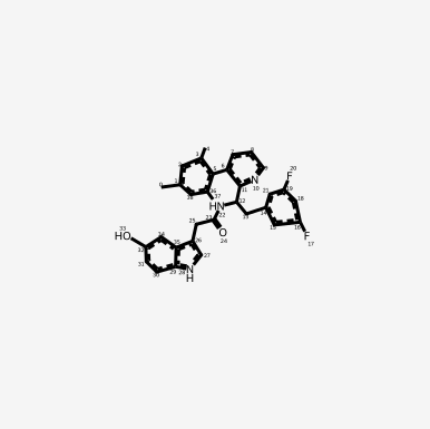 Cc1cc(C)c(-c2cccnc2C(Cc2cc(F)cc(F)c2)NC(=O)Cc2c[nH]c3ccc(O)cc23)c(C)c1